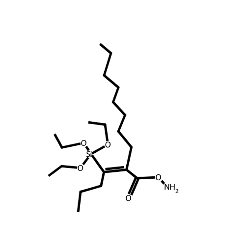 CCCCCCCCC(C(=O)ON)=C(CCC)[Si](OCC)(OCC)OCC